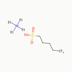 CC[N+](CC)(CC)CC.O=S(=O)([O-])CCCCC(F)(F)F